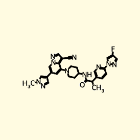 CC(C(=O)NC1CCN(c2cc(-c3cnn(C)c3)cn3ncc(C#N)c23)CC1)c1ccc(-n2cc(F)cn2)nc1